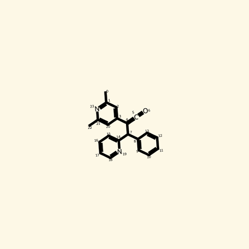 Cc1cc(C(=C=O)C(c2ccccc2)c2ccccn2)cc(C)n1